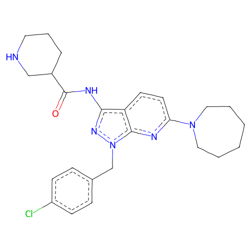 O=C(Nc1nn(Cc2ccc(Cl)cc2)c2nc(N3CCCCCC3)ccc12)C1CCCNC1